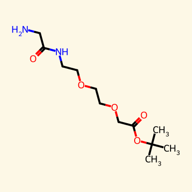 CC(C)(C)OC(=O)COCCOCCNC(=O)CN